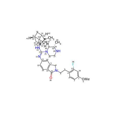 COc1ccc(CCN2Cc3cc(N=C(N[C@H]4C[C@@H]5C[C@@H]([C@H]4C)C5(C)C)N4CCN[C@@H](C)C4)ccc3C2=O)c(F)c1